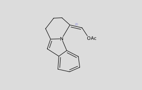 CC(=O)O/C=C1/CCCc2cc3ccccc3n21